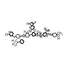 COc1nc2[nH]cc(F)c2cc1Oc1cc(N2CCC3(CC2)CC(N2CCN(Cc4ccnc(Cl)c4)C[C@H]2c2ccccc2C(C)C)C3)ccc1C(=O)NS(=O)(=O)c1cnc(NCC2CCC(C)(O)CC2)c([N+](=O)[O-])c1